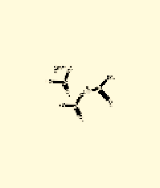 O=[N+]([O-])[O-].O=[N+]([O-])[O-].O=[N+]([O-])[O-].[Sm+3]